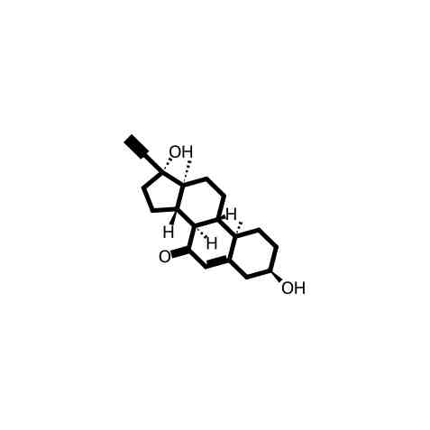 C#C[C@]1(O)CC[C@H]2[C@@H]3C(=O)C=C4C[C@H](O)CC[C@]4(C)[C@H]3CC[C@@]21C